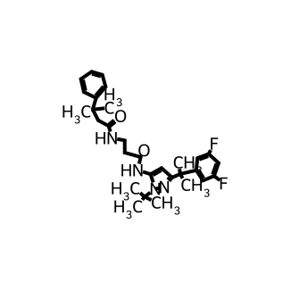 CC(C)(CC(=O)NCCC(=O)Nc1cc(C(C)(C)c2cc(F)cc(F)c2)nn1C(C)(C)C)c1ccccc1